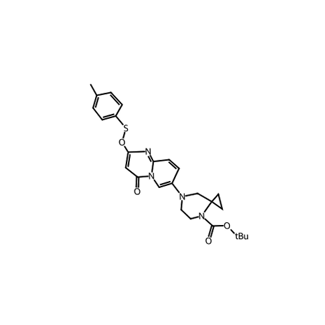 Cc1ccc(SOc2cc(=O)n3cc(N4CCN(C(=O)OC(C)(C)C)C5(CC5)C4)ccc3n2)cc1